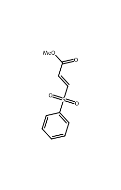 COC(=O)C=CS(=O)(=O)c1ccccc1